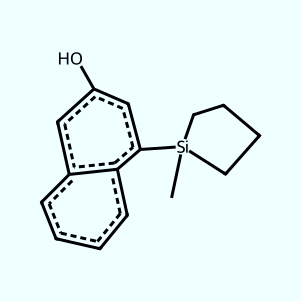 C[Si]1(c2cc(O)cc3ccccc23)CCCC1